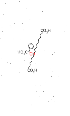 O=C(O)C(O)c1ccccc1.O=C(O)CCCCCCCC=CCCCCCCCC(=O)O